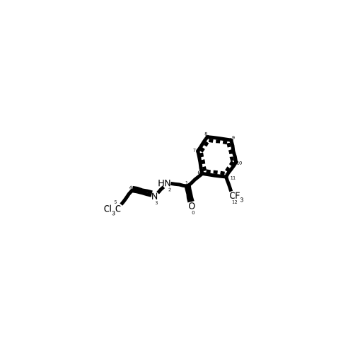 O=C(NN=CC(Cl)(Cl)Cl)c1ccccc1C(F)(F)F